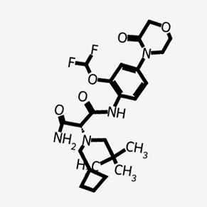 CC(C)(C)CN(CC1CCC1)[C@H](C(N)=O)C(=O)Nc1ccc(N2CCOCC2=O)cc1OC(F)F